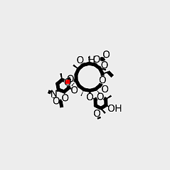 CC[C@H]1OC(=O)[C@H](C)[C@@H](O[C@H]2C[C@@](C)(OC)[C@@H](O)[C@H](C)O2)[C@H](C)[C@@H](O[C@@H]2O[C@H](C)C[C@H](N(C)C)[C@H]2OC(C)=O)[C@@](C)(OC)C[C@@H](C)C(=O)[C@H](C)[C@H]2OC(=O)O[C@@]21C